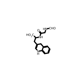 O=CNCC(=O)NC(CC1=CNc2ccccc2C1)C(=O)O